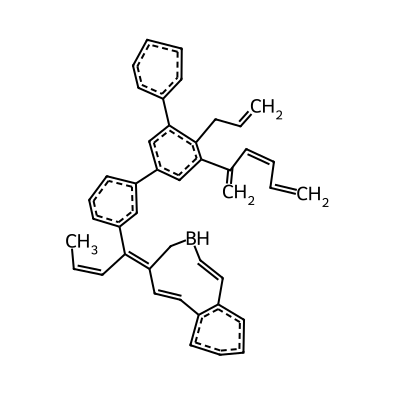 C=C/C=C\C(=C)c1cc(-c2cccc(C(/C=C\C)=C3/C=C/c4ccccc4/C=C/BC3)c2)cc(-c2ccccc2)c1CC=C